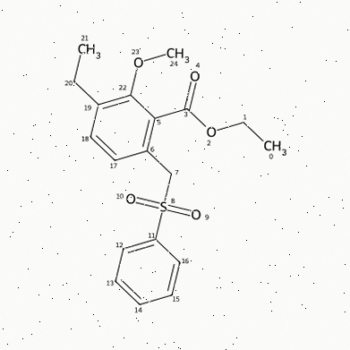 CCOC(=O)c1c(CS(=O)(=O)c2ccccc2)ccc(CC)c1OC